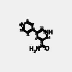 NC(=O)C1=CC(c2ccncc2)=CNC1